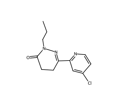 CCCN1N=C(c2cc(Cl)ccn2)CCC1=O